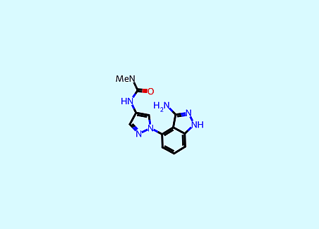 CNC(=O)Nc1cnn(-c2cccc3[nH]nc(N)c23)c1